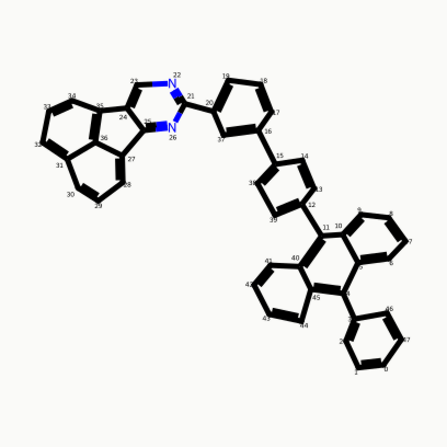 c1ccc(-c2c3ccccc3c(-c3ccc(-c4cccc(-c5ncc6c(n5)-c5cccc7cccc-6c57)c4)cc3)c3ccccc23)cc1